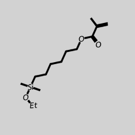 C=C(C)C(=O)OCCCCCC[Si](C)(C)OCC